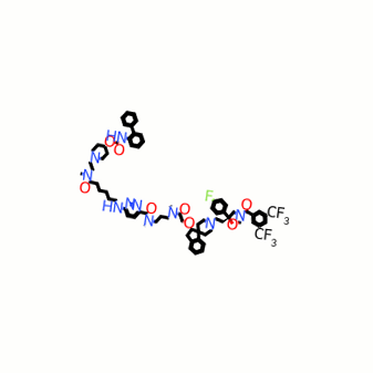 CN(CCN1CCC(OC(=O)Nc2ccccc2-c2ccccc2)CC1)C(=O)CCCCCNc1ccc(C(=O)N(C)CCCN(C)C(=O)CO[C@H]2Cc3ccccc3C23CCN(CC[C@@]2(c4ccc(F)cc4)CN(C(=O)c4cc(C(F)(F)F)cc(C(F)(F)F)c4)CO2)CC3)nn1